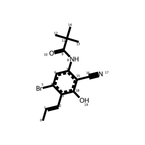 C/C=C/c1c(Br)cc(NC(=O)C(C)(C)C)c(C#N)c1O